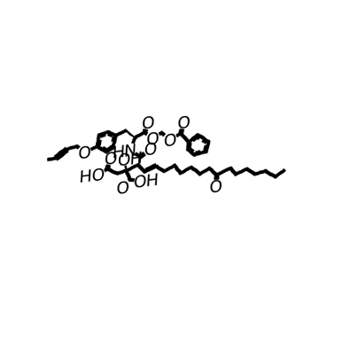 CC#CCOc1ccc(C[C@H](NC(=O)[C@@H](/C=C/CCCCCCC(=O)CCCCCCC)[C@@](O)(CC(=O)O)C(=O)O)C(=O)OCOC(=O)c2ccccc2)cc1